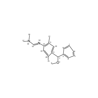 COC(c1ccccc1)c1cc(C)c(N=CN(C)C)cc1C